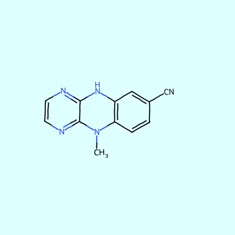 CN1c2ccc(C#N)cc2Nc2nccnc21